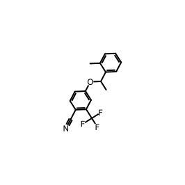 Cc1ccccc1C(C)Oc1ccc(C#N)c(C(F)(F)F)c1